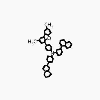 Cc1ccc2oc3c(-c4ccc(N(c5ccc(-c6ccc7c(c6)C=CCC7)cc5)c5cccc(-c6cccc7ccccc67)c5)cc4)cc(C)cc3c2c1